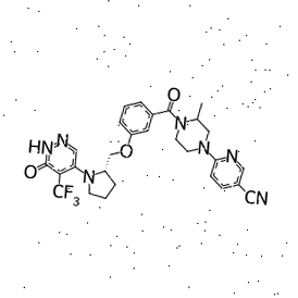 CC1CN(c2ccc(C#N)cn2)CCN1C(=O)c1cccc(OC[C@@H]2CCCN2c2cn[nH]c(=O)c2C(F)(F)F)c1